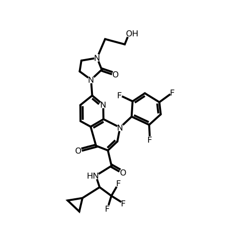 O=C(NC(C1CC1)C(F)(F)F)c1cn(-c2c(F)cc(F)cc2F)c2nc(N3CCN(CCO)C3=O)ccc2c1=O